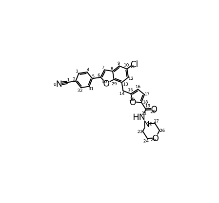 N#Cc1ccc(-c2cc3cc(Cl)cc(Cc4ccc(C(=O)NN5CCOCC5)o4)c3o2)cc1